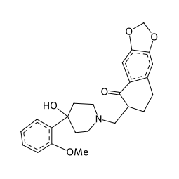 COc1ccccc1C1(O)CCN(CC2CCc3cc4c(cc3C2=O)OCO4)CC1